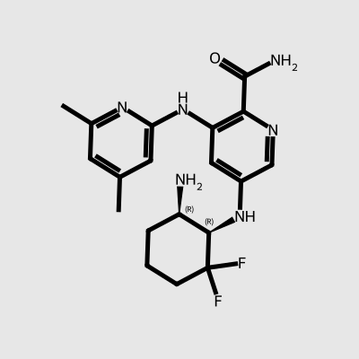 Cc1cc(C)nc(Nc2cc(N[C@@H]3[C@H](N)CCCC3(F)F)cnc2C(N)=O)c1